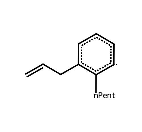 C=CCc1ccc[c]c1CCCCC